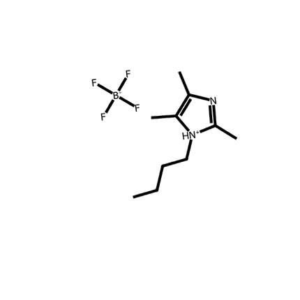 CCCC[NH+]1C(C)=NC(C)=C1C.F[B-](F)(F)F